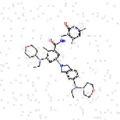 CCN(c1ccc2c(c1)CN(c1cc(C(=O)NCc3c(C)cc(C)[nH]c3=O)c(C)c(N(CC)C3CCOCC3)c1)C2)C1CCOCC1